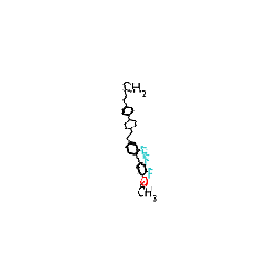 C=CCCc1ccc(C2CCC(CCc3ccc(-c4ccc(OCC)c(F)c4F)c(F)c3)CC2)cc1